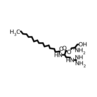 CCCCCCCCCCCCCCCC(=O)NC(CCNC(=N)N)C(=O)OC[C@H](N)CO